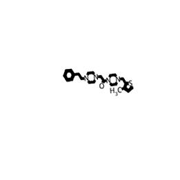 Cc1ccsc1CN1CCN(C(=O)CN2CCN(CCc3ccccc3)CC2)CC1